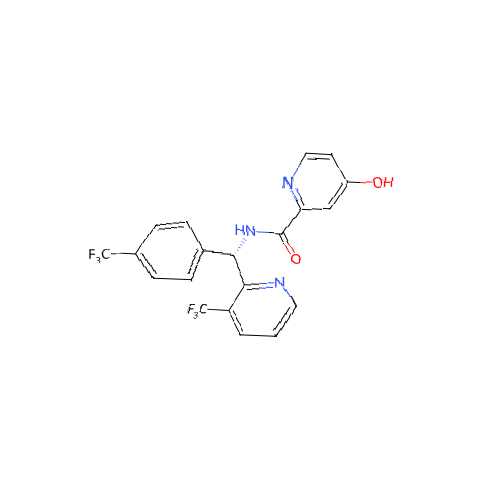 O=C(N[C@@H](c1ccc(C(F)(F)F)cc1)c1ncccc1C(F)(F)F)c1cc(O)ccn1